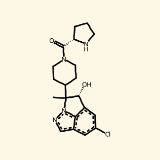 CC1(C2CCN(C(=O)[C@@H]3CCCN3)CC2)[C@H](O)c2cc(Cl)cc3cnn1c23